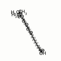 CC(C)(C)OC(=O)OCCOCCOCCOCCOCCCCCCCCCCCSCC(=O)O